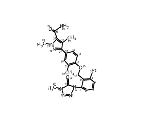 CCc1cccc(-n2nnn(C)c2=O)c1COc1ccc(-c2nn(C)c(C(N)=O)c2C)cc1C